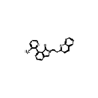 Cc1cccnc1-c1cccc2c1C(=O)N(CCc1ccc3ccccc3n1)C2